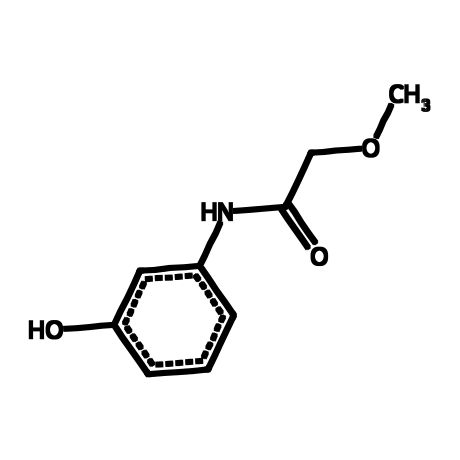 COCC(=O)Nc1cccc(O)c1